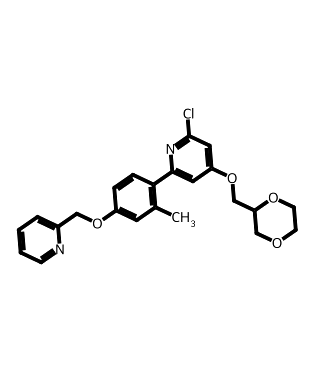 Cc1cc(OCc2ccccn2)ccc1-c1cc(OCC2COCCO2)cc(Cl)n1